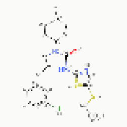 CC1CCC(N(CCCc2cccc(Cl)c2)C(=O)Nc2ncc(SCC(=O)O)s2)CC1